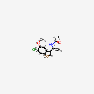 COc1cc2c(C(C)NC(C)=O)csc2cc1Cl